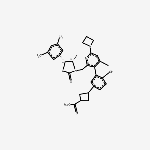 COC(=O)C1CC(c2ccc(O)c(-c3c(C)cc(N4CCC4)nc3CN3C(=O)O[C@H](c4cc(C(F)(F)F)cc(C(F)(F)F)c4)[C@@H]3C)c2)C1